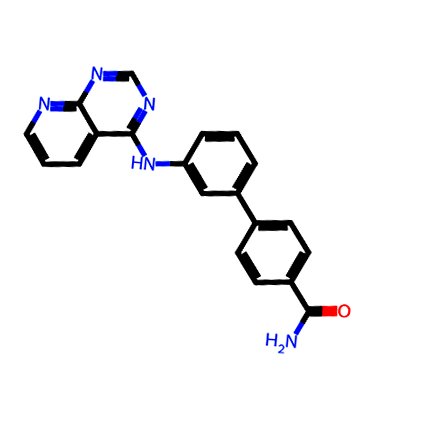 NC(=O)c1ccc(-c2cccc(Nc3ncnc4ncccc34)c2)cc1